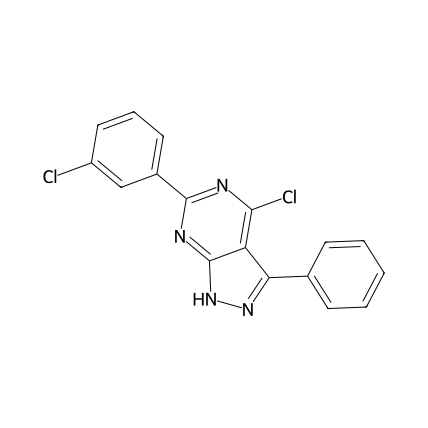 Clc1cccc(-c2nc(Cl)c3c(-c4ccccc4)n[nH]c3n2)c1